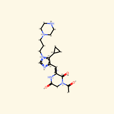 CC(=O)N1CC(=O)N/C(=C\c2ncn(CCCN3CCNCC3)c2C2CC2)C1=O